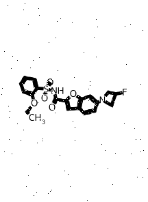 CCOc1ccccc1S(=O)(=O)NC(=O)c1cc2ccc(N3CC(F)C3)cc2o1